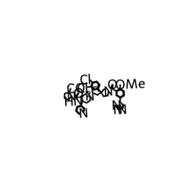 COc1ccc(C2C=NN=N2)cc1C(=O)N1CCC(CCN2CCC(NC(=O)N3CCCC3C(=O)O)(c3cccnc3)CC2)(c2ccc(Cl)c(Cl)c2)C1